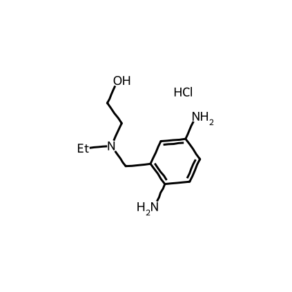 CCN(CCO)Cc1cc(N)ccc1N.Cl